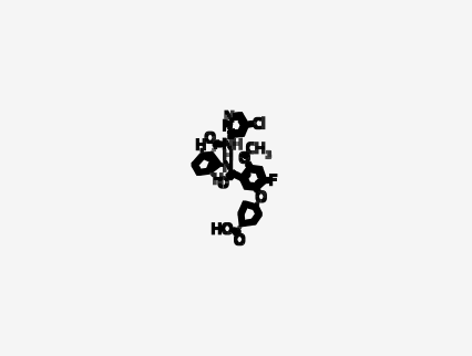 COc1cc(F)c(O[C@H]2CC[C@@H](C(=O)O)CC2)cc1C(=O)N[C@@H]1[C@H]2CC[C@H](C2)[C@@H]1C(=O)Nc1cc(Cl)cnn1